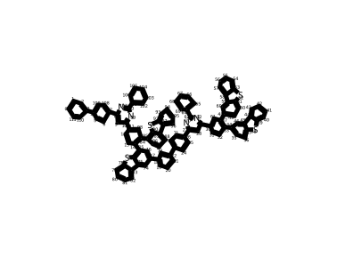 c1ccc(-c2ccc(-c3cc(-c4ccc(-c5cc(-c6cccc(-c7ccc(-c8cc(-c9ccc(-c%10ccc%11sc%12ccccc%12c%11c%10)c(-c%10ccc%11sc%12ccccc%12c%11c%10)c9)nc(-c9ccccc9)n8)cc7)c6)cc6c5sc5ccccc56)c(-c5cccc6c5sc5ccccc56)c4)nc(-c4ccccc4)n3)cc2)cc1